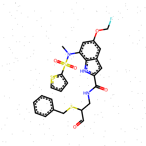 CN(c1cc(OCF)cc2cc(C(=O)NCC(C=O)SCc3ccccc3)[nH]c12)S(=O)(=O)c1cccs1